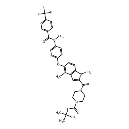 Cc1c(Oc2ccc(N(C)C(=O)c3ccc(C(F)(F)F)cc3)cn2)ccc2c1cc(C(=O)N1CCN(C(=O)OC(C)(C)C)CC1)n2C